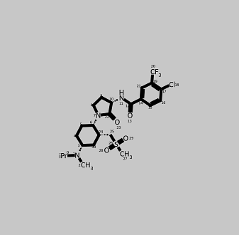 CC(C)N(C)[C@@H]1CC[C@H](N2CC[C@H](NC(=O)c3ccc(Cl)c(C(F)(F)F)c3)C2=O)[C@H](CS(C)(=O)=O)C1